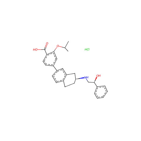 CC(C)Oc1cc(-c2ccc3c(c2)C[C@@H](NC[C@@H](O)c2ccccc2)CC3)ccc1C(=O)O.Cl